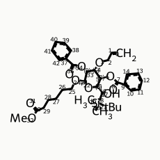 C=CCO[C@H]1[C@@H](OC(=O)c2ccccc2)[C@@H](C(O)[Si](C)(C)C(C)(C)C)O[C@@H](OCCCCCC(=O)OC)[C@@H]1OC(=O)c1ccccc1